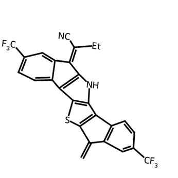 C=C1c2cc(C(F)(F)F)ccc2-c2c1sc1c3c([nH]c21)/C(=C(/C#N)CC)c1cc(C(F)(F)F)ccc1-3